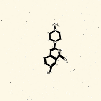 CN1CCN(c2cc3ccc(Br)cc3c(=O)[nH]2)CC1